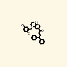 O=C(CCC(c1ccccc1)c1ccccc1)c1cnc2c(c1)N(Cc1cc(Cl)ccc1Cl)CCN2